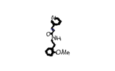 COc1ccccc1CCNC(=O)/C=C/c1cccnc1